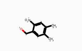 Cc1cc(C[O])c([N+](=O)[O-])cc1C